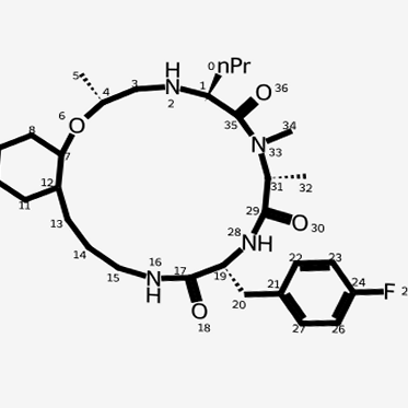 CCC[C@@H]1NC[C@@H](C)OC2CCCCC2CCCNC(=O)[C@@H](Cc2ccc(F)cc2)NC(=O)[C@@H](C)N(C)C1=O